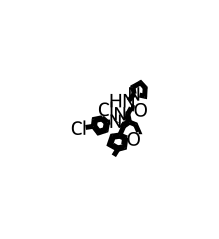 Cc1ccc2c(c1)OCCc1c(C(=O)NN3CCCC3)nn(-c3ccc(Cl)cc3Cl)c1-2